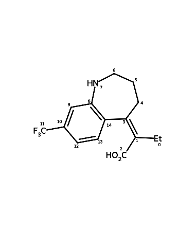 CCC(C(=O)O)=C1CCCNc2cc(C(F)(F)F)ccc21